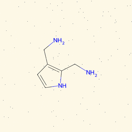 NCc1cc[nH]c1CN